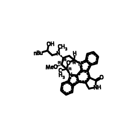 CCCCC(O)CN(C)[C@@H]1C[C@H]2O[C@@](C)([C@@H]1OC)n1c3ccccc3c3c4c(c5c6ccccc6n2c5c31)C(=O)NC4